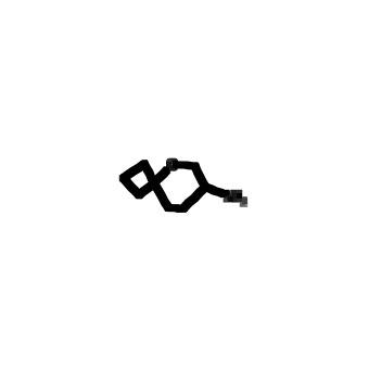 NC1CCC2(CCC2)OC1